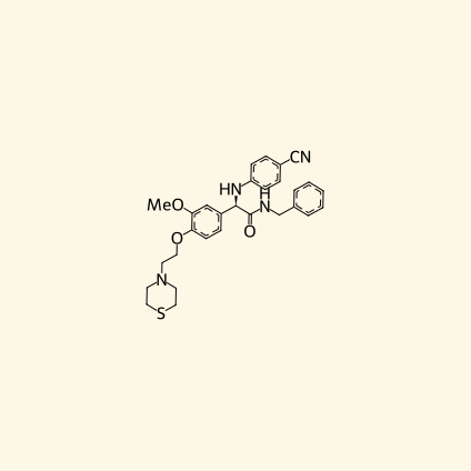 COc1cc([C@@H](Nc2ccc(C#N)cc2)C(=O)NCc2ccccc2)ccc1OCCN1CCSCC1